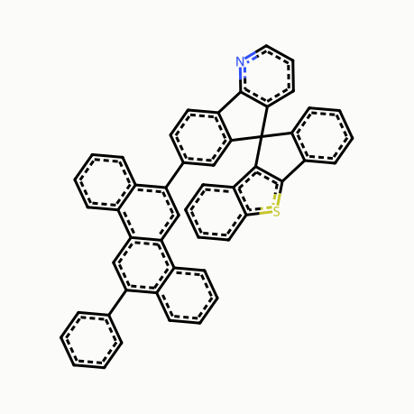 c1ccc(-c2cc3c4ccccc4c(-c4ccc5c(c4)C4(c6ccccc6-c6sc7ccccc7c64)c4cccnc4-5)cc3c3ccccc23)cc1